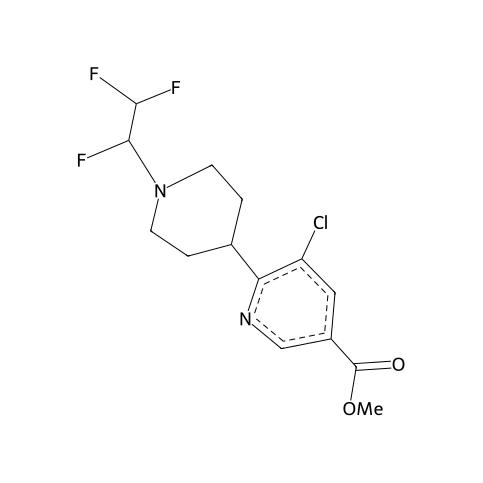 COC(=O)c1cnc(C2CCN(C(F)C(F)F)CC2)c(Cl)c1